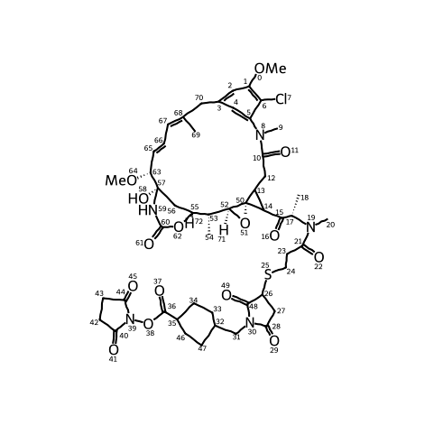 COc1cc2cc(c1Cl)N(C)C(=O)CC1C(C(=O)[C@H](C)N(C)C(=O)CCSC3CC(=O)N(CC4CCC(C(=O)ON5C(=O)CCC5=O)CC4)C3=O)[C@]13O[C@H]3[C@H](C)[C@@H]1C[C@@](O)(NC(=O)O1)[C@H](OC)/C=C/C=C(\C)C2